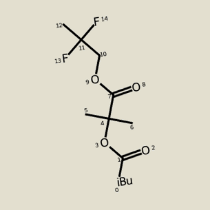 CCC(C)C(=O)OC(C)(C)C(=O)OCC(C)(F)F